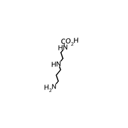 NCCCNCCNC(=O)O